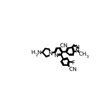 Cn1ncc2cc(-c3c(C#N)cc(N4CCC(N)CC4)nc3-c3ccc(C#N)c(F)c3)ccc21